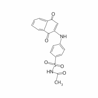 CC(=O)NS(=O)(=O)c1ccc(NC2=CC(=O)c3ccccc3C2=O)cc1